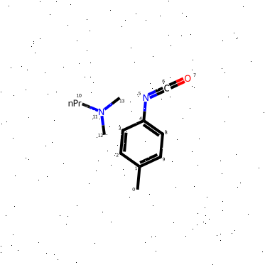 Cc1ccc(N=C=O)cc1.[CH2]CCN(C)C